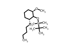 CCCCO[C@@H]1CCC[C@@H](OC)C1O[Si](C)(C)C(C)(C)C